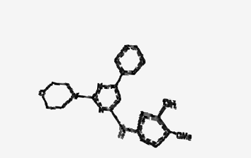 COc1ccc(Nc2cc(-c3ccccc3)nc(N3CCOCC3)n2)cc1O